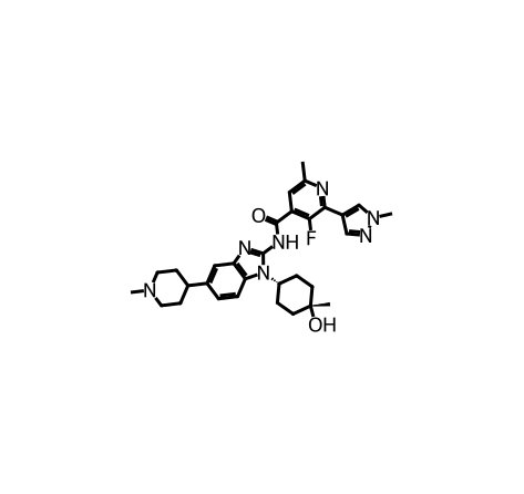 Cc1cc(C(=O)Nc2nc3cc(C4CCN(C)CC4)ccc3n2[C@H]2CC[C@@](C)(O)CC2)c(F)c(-c2cnn(C)c2)n1